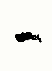 C[C@H]1CNC(CC2CCCCOC2)CO1